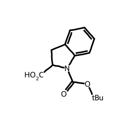 CC(C)(C)OC(=O)N1c2ccccc2CC1C(=O)O